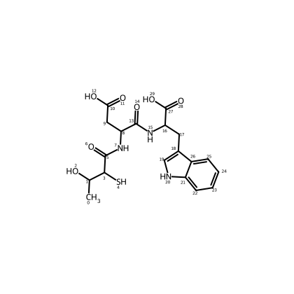 CC(O)C(S)C(=O)NC(CC(=O)O)C(=O)NC(Cc1c[nH]c2ccccc12)C(=O)O